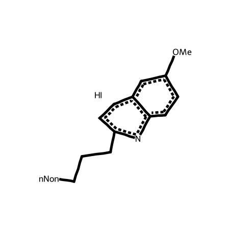 CCCCCCCCCCCCc1ccc2cc(OC)ccc2n1.I